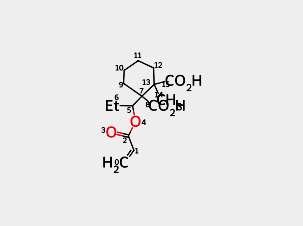 C=CC(=O)OC(CC)C1(C(=O)O)CCCCC1(C)C(=O)O